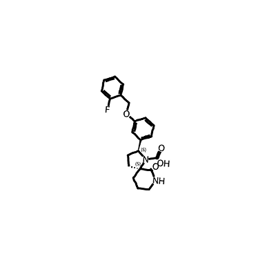 O=C(O)N1[C@H](c2cccc(OCc3ccccc3F)c2)CC[C@]12CCCNC2=O